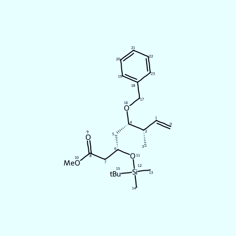 C=C[C@H](C)[C@H](C[C@@H](CC(=O)OC)O[Si](C)(C)C(C)(C)C)OCc1ccccc1